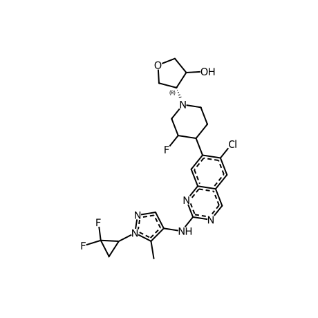 Cc1c(Nc2ncc3cc(Cl)c(C4CCN([C@@H]5COCC5O)CC4F)cc3n2)cnn1C1CC1(F)F